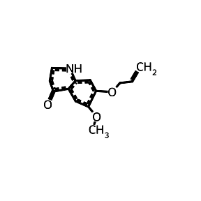 C=CCOc1cc2[nH]ccc(=O)c2cc1OC